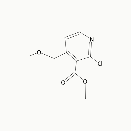 COCc1ccnc(Cl)c1C(=O)OC